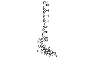 CC1(C)[C@@H](O)CC[C@]2(C)[C@H]3C(=O)C=C4[C@@H]5C[C@@](C)(C(=O)OCC(O)C(O)C(O)C(O)COCC(O)COCC(O)COCC(O)COCC(O)COCC(O)COCC(O)CO)CC[C@]5(C)CC[C@@]4(C)[C@]3(C)CC[C@@H]12